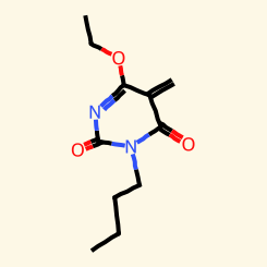 C=C1C(=O)N(CCCC)C(=O)N=C1OCC